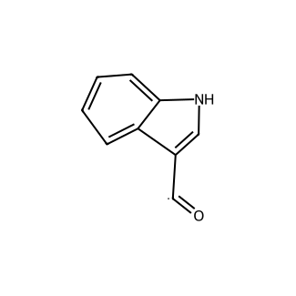 O=[C]c1c[nH]c2ccccc12